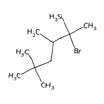 CC(CC(C)(C)C)C(C)([SiH3])Br